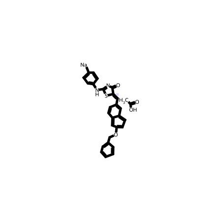 CC(=O)O.O=C1N=C(Nc2cc[c]([Na])cc2)S/C1=C\c1ccc2cc(OCc3ccccc3)ccc2c1